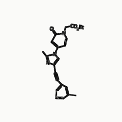 CCOC(=O)Cn1ccc(-n2cc(C#Cc3cccc(C)c3)nc2C)cc1=O